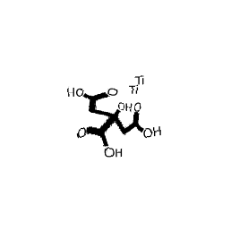 O=C(O)CC(O)(CC(=O)O)C(=O)O.[Ti].[Ti]